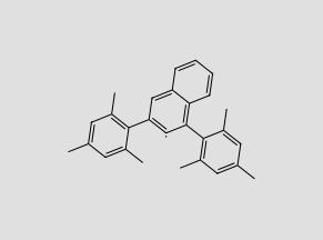 Cc1cc(C)c(-c2[c]c(-c3c(C)cc(C)cc3C)c3ccccc3c2)c(C)c1